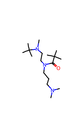 CN(C)CCCN(CCN(C)C(C)(C)C)C(=O)C(C)(C)C